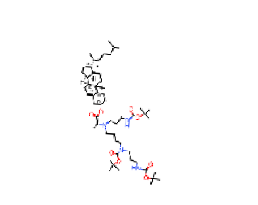 CC(C)CCCC(C)[C@H]1CC[C@H]2[C@@H]3CC=C4C[C@@H](OC(=O)C(C)N(CCCCN(CCCNC(=O)OC(C)(C)C)C(=O)OC(C)(C)C)CCCNC(=O)OC(C)(C)C)CC[C@]4(C)[C@H]3CC[C@]12C